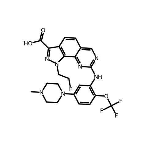 CN1CCN(c2ccc(OC(F)(F)F)c(Nc3ncc4ccc5c(C(=O)O)nn(CCF)c5c4n3)c2)CC1